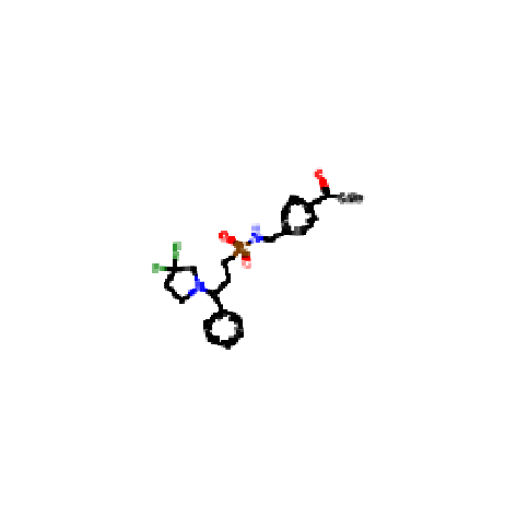 COC(=O)c1ccc(CNS(=O)(=O)CCC(c2ccccc2)N2CCC(F)(F)C2)cc1